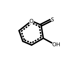 Oc1cccoc1=S